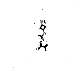 C=C(C)/C(Cl)=C\N=C(/C)O[C@H]1C[C@H](N)C1